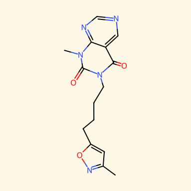 Cc1cc(CCCCn2c(=O)c3cncnc3n(C)c2=O)on1